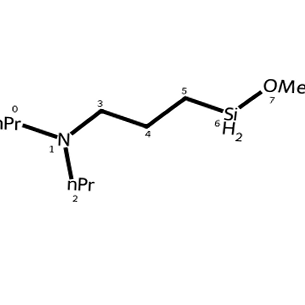 CCCN(CCC)CCC[SiH2]OC